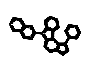 c1ccc(-n2ccc3ccc4c(c5ccccc5n4-c4ncc5cnccc5n4)c32)cc1